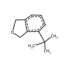 CC(C)(C)c1cccc2c1COC2